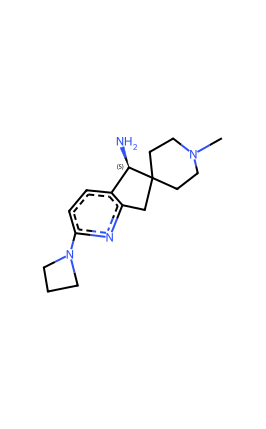 CN1CCC2(CC1)Cc1nc(N3CCC3)ccc1[C@H]2N